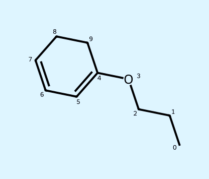 CCCOC1=CC=CCC1